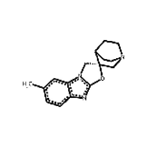 Cc1ccc2nc3n(c2c1)C[C@]1(CN2CCC1CC2)O3